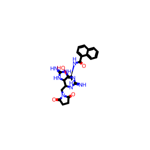 N=C1NC2C(CN3C(=O)CCC3=O)NC(=N)N3C[C@H](NC(=O)c4cccc5ccccc45)C(O)C23N1